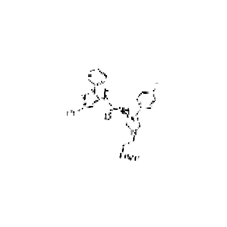 COCCN1CC(c2ccc(F)cc2)[C@H](NC(=O)Nc2cc(C(C)C)nn2-c2ccccc2)C1